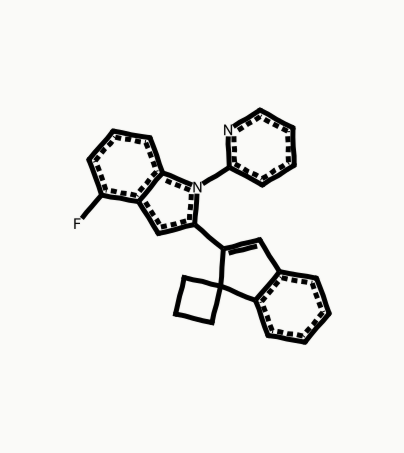 Fc1cccc2c1cc(C1=Cc3ccccc3C13CCC3)n2-c1ccccn1